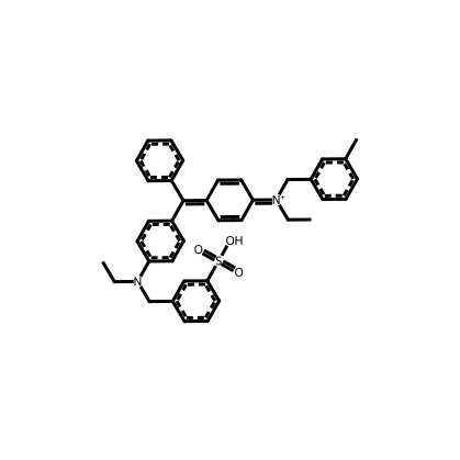 CCN(Cc1cccc(S(=O)(=O)O)c1)c1ccc(C(=C2C=CC(=[N+](CC)Cc3cccc(C)c3)C=C2)c2ccccc2)cc1